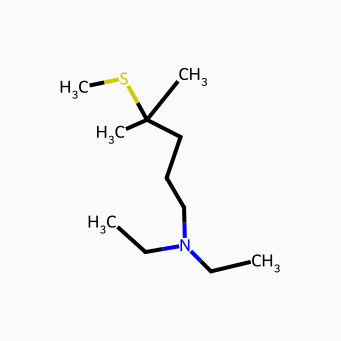 CCN(CC)CCCC(C)(C)SC